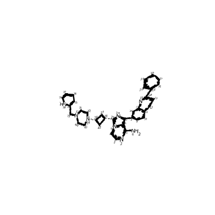 Nc1nccn2c1c(-c1ccc3ccc(-c4ccccc4)nc3c1)nc2[C@H]1C[C@@H](N2CCN(CC3=CC=C=CN3)CC2)C1